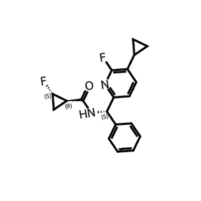 O=C(N[C@@H](c1ccccc1)c1ccc(C2CC2)c(F)n1)[C@H]1C[C@@H]1F